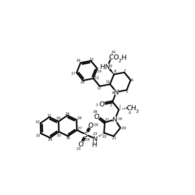 C[C@@H](C(=O)N1CCC[C@H](NC(=O)O)C1Cc1ccccc1)N1CC[C@H](NS(=O)(=O)c2ccc3ccccc3c2)C1=O